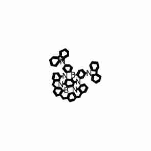 c1ccc2c(c1)c1ccccc1n2-c1ccc2c(c1)-n1c3cccc4c3n3c5c6c7c8c(c51)B2c1ccc(-n2c5ccccc5c5ccccc52)cc1-n8c1cccc2c1n7-c1c(ccc5c1B6c1c(ccc(c1-3)C4)C5)C2